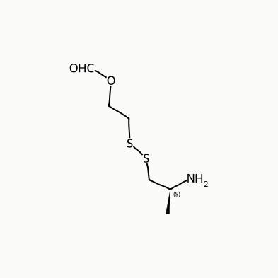 C[C@H](N)CSSCCOC=O